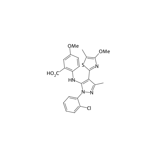 COc1ccc(Nc2c(-c3nc(OC)c(C)s3)c(C)nn2-c2ccccc2Cl)c(C(=O)O)c1